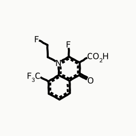 O=C(O)c1c(F)n(CCF)c2c(C(F)(F)F)cccc2c1=O